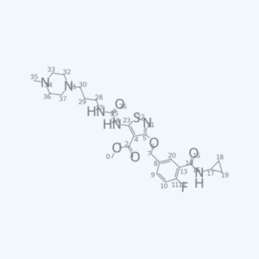 COC(=O)c1c(OCc2ccc(F)c(C(=O)NC3CC3)c2)nsc1NC(=O)NCCCN1CCN(C)CC1